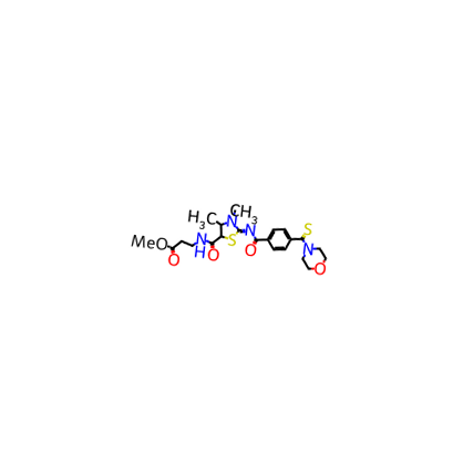 COC(=O)CCNC(=O)C1SC(=NC(=O)c2ccc(C(=S)N3CCOCC3)cc2)N(C)C1C